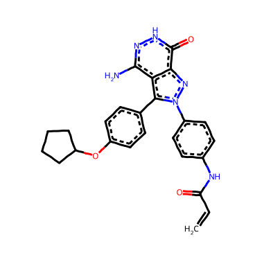 C=CC(=O)Nc1ccc(-n2nc3c(=O)[nH]nc(N)c3c2-c2ccc(OC3CCCC3)cc2)cc1